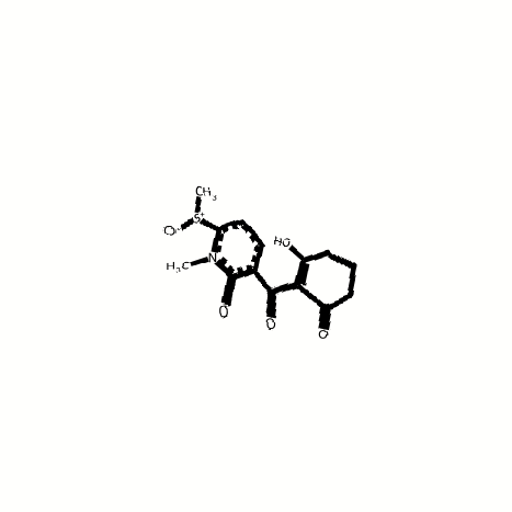 Cn1c([S+](C)[O-])ccc(C(=O)C2=C(O)CCCC2=O)c1=O